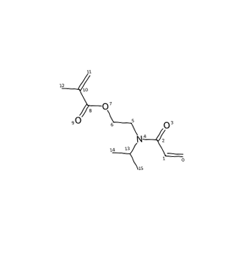 C=CC(=O)N(CCOC(=O)C(=C)C)C(C)C